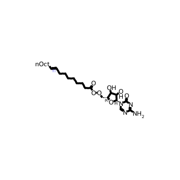 CCCCCCCC/C=C/CCCCCCCC(=O)OOC[C@H]1O[C@@H](n2cnc(N)nc2=O)C(O)C1O